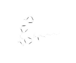 CCCCc1nc2ccc(NC(=O)NCCCCCO)cc2n1Cc1ccc(-c2ccccc2C(=O)O)cc1